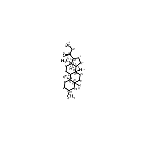 C[C@H]1CC[C@]2(F)C3CC[C@]4(C)[C@@H](C(=O)CBr)CC[C@H]4[C@@H]3CC[C@@H]2C1